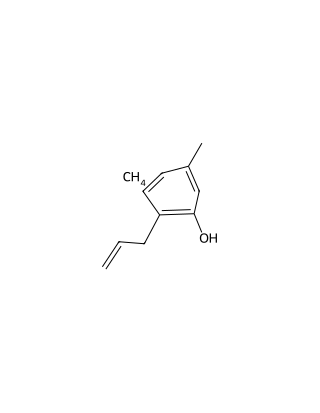 C.C=CCc1ccc(C)cc1O